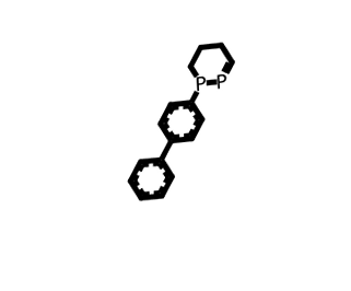 C1=PP(c2ccc(-c3ccccc3)cc2)CCC1